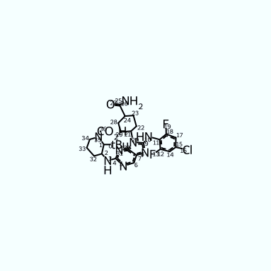 CC(C)(C)C1C(Nc2ncc3nc(Nc4c(F)cc(Cl)cc4F)n(C4CCC(C(N)=O)CC4)c3n2)CCCN1C(=O)O